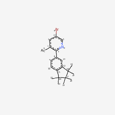 CC(=O)c1cc(Br)cnc1-c1ccc2c(c1)C(C)(C)C(C)(C)C2(C)C